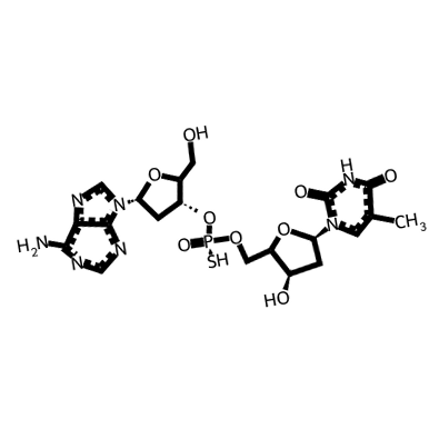 Cc1cn([C@H]2C[C@@H](O)C(CO[P@](=O)(S)O[C@@H]3C[C@H](n4cnc5c(N)ncnc54)OC3CO)O2)c(=O)[nH]c1=O